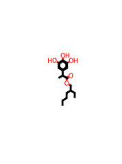 CCCCC(CC)COC(=O)C(C)c1cc(O)c(O)c(O)c1